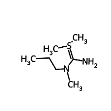 CCCN(C)C(N)=S(C)C